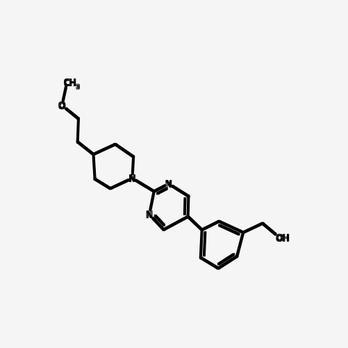 COCCC1CCN(c2ncc(-c3cccc(CO)c3)cn2)CC1